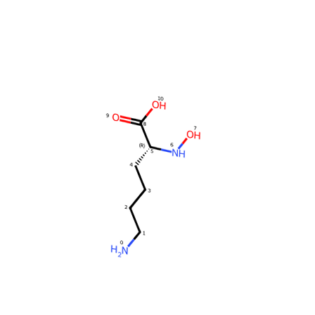 NCCCC[C@@H](NO)C(=O)O